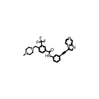 CN1CCN(Cc2ccc(C(=O)Nc3cccc(C#Cc4cnc5cnccn45)c3)cc2C(F)(F)F)CC1